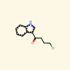 O=C(CCCCl)c1c[nH]c2ccccc12